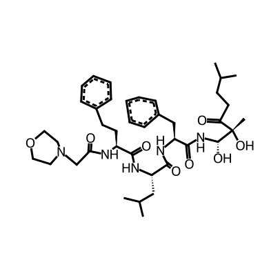 CC(C)CCC(=O)[C@](C)(O)[C@H](O)NC(=O)[C@H](Cc1ccccc1)NC(=O)[C@H](CC(C)C)NC(=O)[C@H](CCc1ccccc1)NC(=O)CN1CCOCC1